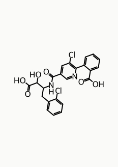 O=C(NC(Cc1ccccc1Cl)C(O)C(=O)O)c1cnc(-c2ccccc2C(=O)O)c(Cl)c1